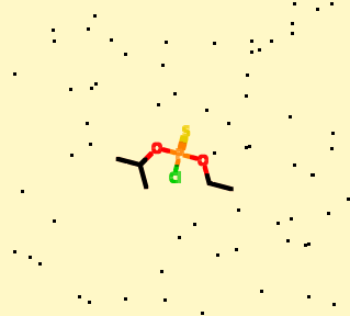 CCOP(=S)(Cl)OC(C)C